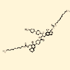 CCCCCCCCCCOC(=O)OCn1ncc2cc(C[C@@H](NC(=O)N3CCC(c4cc5ccccc5n(COC(=O)OCCCCCCCCCC)c4=O)CC3)C(=O)N3CCN(C4CCN(C)CC4)CC3)cc(C)c21